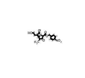 CC1C(=O)C(C(=O)OCc2ccc([N+](=O)[O-])cc2)N2C(=O)C(CCO)C12